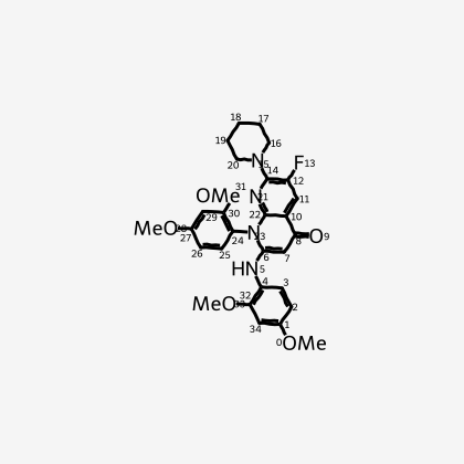 COc1ccc(Nc2cc(=O)c3cc(F)c(N4CCCCC4)nc3n2-c2ccc(OC)cc2OC)c(OC)c1